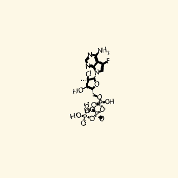 C[C@@]1(Cl)[C@H](O)[C@@H](COP(=O)(O)OP(=O)(O)OP(=O)(O)O)O[C@H]1n1cc(F)c2c(N)ncnc21